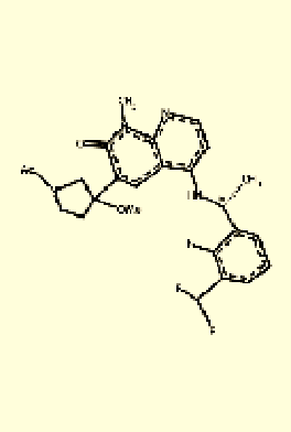 COC1(c2cc3c(N[C@H](C)c4cccc(C(F)F)c4F)ccnc3n(C)c2=O)CCN(C(C)=O)C1